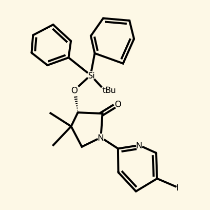 CC1(C)CN(c2ccc(I)cn2)C(=O)[C@H]1O[Si](c1ccccc1)(c1ccccc1)C(C)(C)C